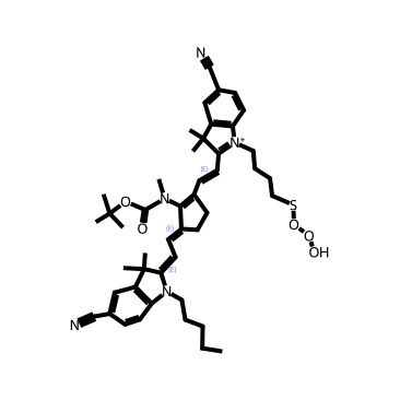 CCCCCN1/C(=C/C=C2\CCC(/C=C/C3=[N+](CCCCSOOO)c4ccc(C#N)cc4C3(C)C)=C2N(C)C(=O)OC(C)(C)C)C(C)(C)c2cc(C#N)ccc21